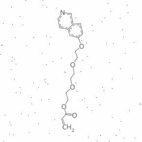 C=CC(=O)OCCOCCOCCOc1ccc2cnccc2c1